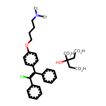 CCN(CC)CCCCOc1ccc(C(=C(Cl)c2ccccc2)c2ccccc2)cc1.O=C(O)CC(O)(CC(=O)O)C(=O)O